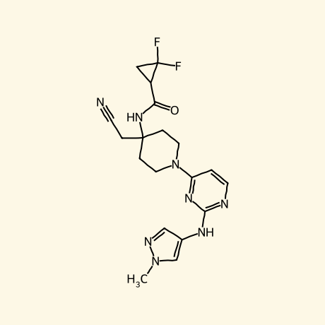 Cn1cc(Nc2nccc(N3CCC(CC#N)(NC(=O)C4CC4(F)F)CC3)n2)cn1